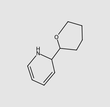 C1=CNC(C2CCCCO2)C=C1